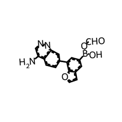 Nc1cnnc2cc(-c3cc(B(O)OC=O)cc4ccoc34)ccc12